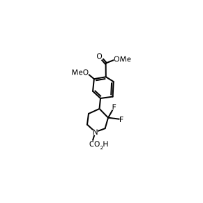 COC(=O)c1ccc(C2CCN(C(=O)O)CC2(F)F)cc1OC